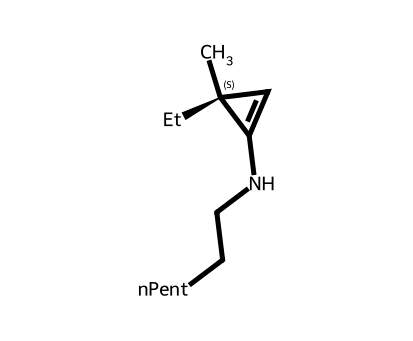 CCCCCCCNC1=C[C@]1(C)CC